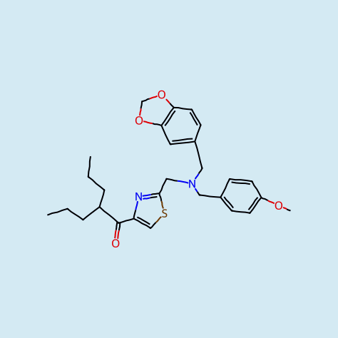 CCCC(CCC)C(=O)c1csc(CN(Cc2ccc(OC)cc2)Cc2ccc3c(c2)OCO3)n1